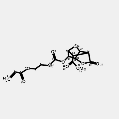 C=CC(=O)OCCNC(=O)OC1C2OC(=O)C3C2SC1C3C(=O)OC